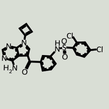 Nc1ncnc2c1c(C(=O)c1cccc(NS(=O)(=O)c3ccc(Cl)cc3Cl)c1)cn2C1=CC=C1